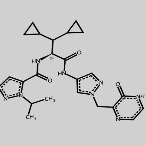 CC(C)n1nccc1C(=O)N[C@H](C(=O)Nc1cnn(Cc2ncc[nH]c2=O)c1)C(C1CC1)C1CC1